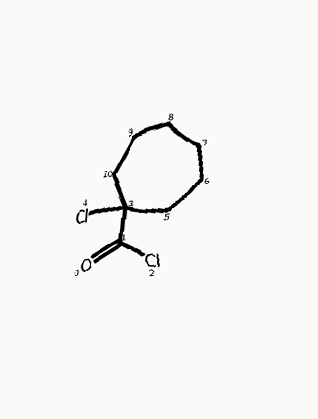 O=C(Cl)C1(Cl)CCCCCC1